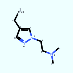 CN(C)CCn1cc(CC(C)(C)C)cn1